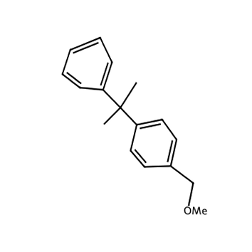 COCc1ccc(C(C)(C)c2ccccc2)cc1